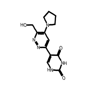 O=c1[nH]cc(-c2cc(N3CCCC3)c(CO)nn2)c(=O)[nH]1